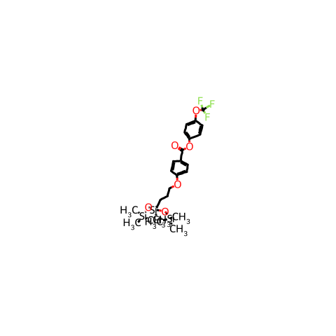 C[Si](C)(C)O[Si](C)(CCCOc1ccc(C(=O)Oc2ccc(OC(F)(F)F)cc2)cc1)O[Si](C)(C)C